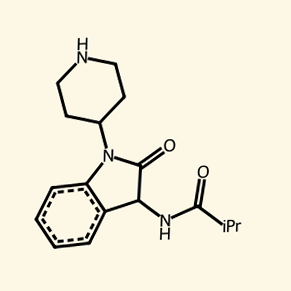 CC(C)C(=O)NC1C(=O)N(C2CCNCC2)c2ccccc21